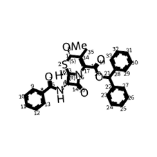 CO[C@H]1S[C@@H]2[C@@H](NC(=O)c3ccccc3)C(=O)N2C(C(=O)OC(c2ccccc2)c2ccccc2)=C1C